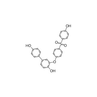 O=S(=O)(c1ccc(O)cc1)c1ccc(Oc2cc(-c3ccc(O)cc3)ccc2O)cc1